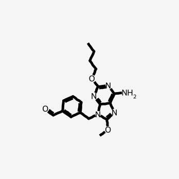 CCCCOc1nc(N)c2nc(OC)n(Cc3cccc(C=O)c3)c2n1